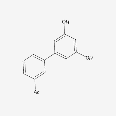 CC(=O)c1cccc(-c2cc(O)cc(O)c2)c1